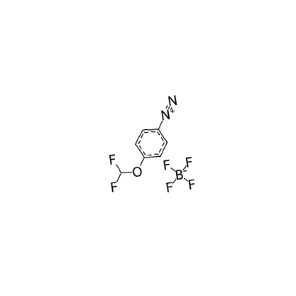 F[B-](F)(F)F.N#[N+]c1ccc(OC(F)F)cc1